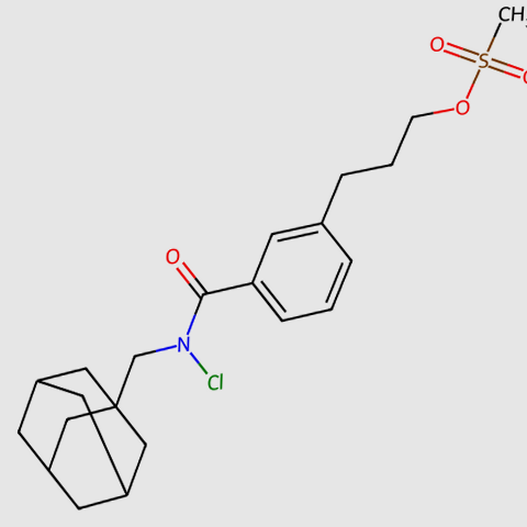 CS(=O)(=O)OCCCc1cccc(C(=O)N(Cl)CC23CC4CC(CC(C4)C2)C3)c1